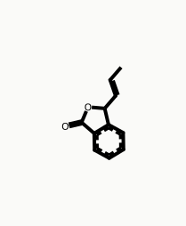 CC=CC1OC(=O)c2ccccc21